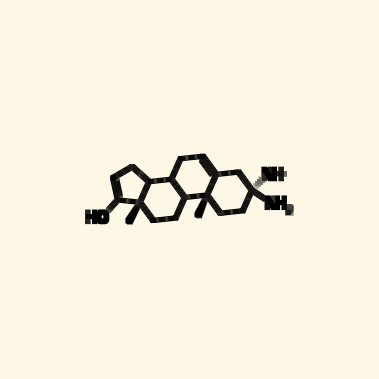 C[C@]12CC[C@]([NH])(N)CC1=CCC1C2CC[C@]2(C)C(O)=CCC12